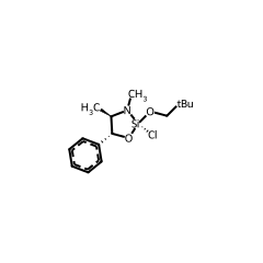 C[C@@H]1[C@@H](c2ccccc2)O[Si@](Cl)(OCC(C)(C)C)N1C